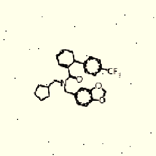 O=C(C1=CC=CCC1c1ccc(C(F)(F)F)cc1)N(Cc1ccc2c(c1)OCO2)CC1CCCC1